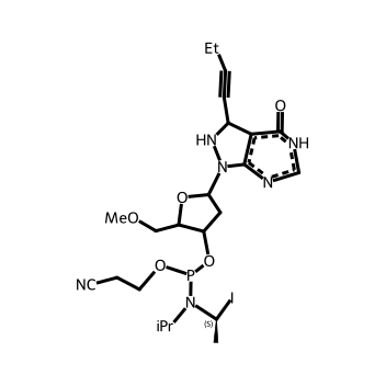 CCC#CC1NN(C2CC(OP(OCCC#N)N(C(C)C)[C@H](C)I)C(COC)O2)c2nc[nH]c(=O)c21